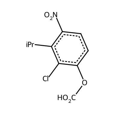 CC(C)c1c([N+](=O)[O-])ccc(OC(=O)O)c1Cl